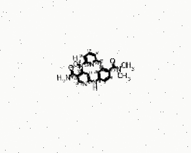 CN(C)C(=O)c1ccc(Nc2cc(N(C)c3cccc(F)n3)c(C(N)=O)cn2)cc1